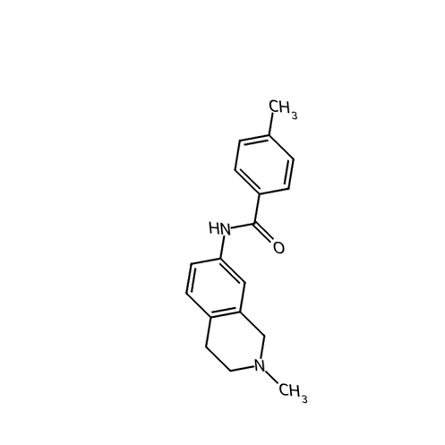 Cc1ccc(C(=O)Nc2ccc3c(c2)CN(C)CC3)cc1